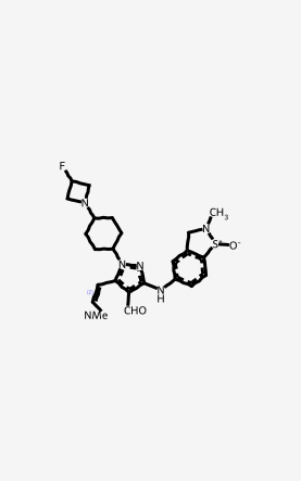 CN/C=C\c1c(C=O)c(Nc2ccc3c(c2)CN(C)[S+]3[O-])nn1C1CCC(N2CC(F)C2)CC1